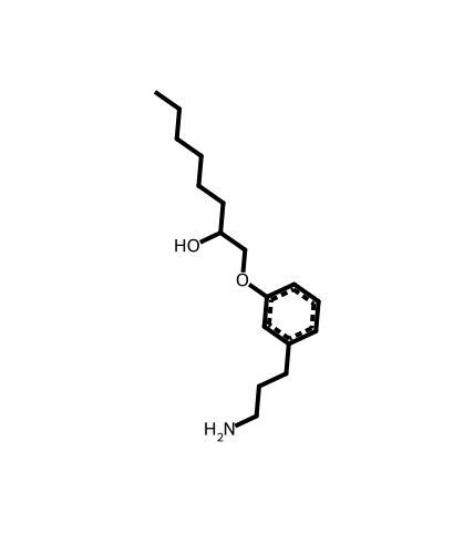 CCCCCCC(O)COc1cccc(CCCN)c1